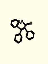 O=C(P)C(=C(c1ccccc1)c1ccccc1)c1ccccc1